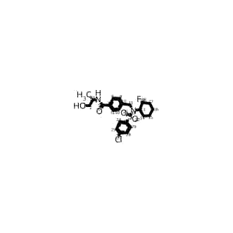 C[C@@H](CO)NC(=O)c1ccc(CN(C2CCCCC2F)S(=O)(=O)c2ccc(Cl)cc2)cc1